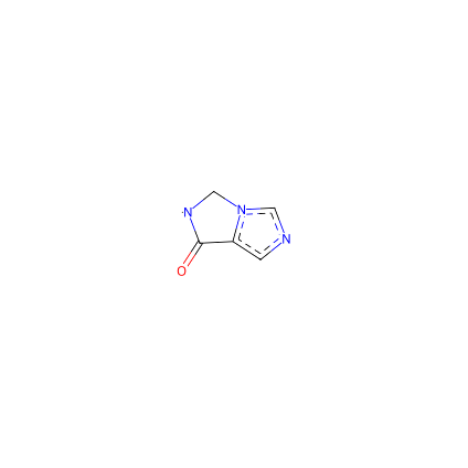 O=C1[N]Cn2cncc21